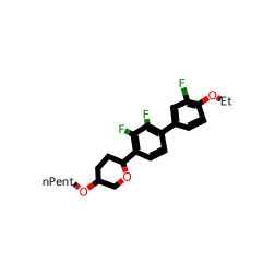 CCCCCOC1CCC(c2ccc(-c3ccc(OCC)c(F)c3)c(F)c2F)OC1